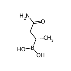 C[C@@H](CC(N)=O)B(O)O